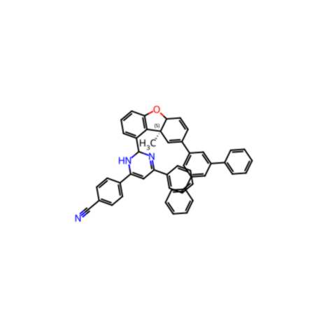 C[C@@]12C=C(c3cc(-c4ccccc4)cc(-c4ccccc4)c3)C=CC1Oc1cccc(C3N=C(c4ccccc4)C=C(c4ccc(C#N)cc4)N3)c12